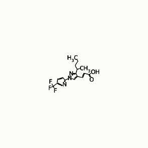 CCCC(C)c1nn(-c2ccc(C(F)(F)F)cn2)cc1/C=C/C(=O)O